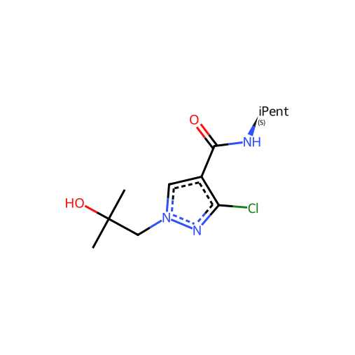 CCC[C@H](C)NC(=O)c1cn(CC(C)(C)O)nc1Cl